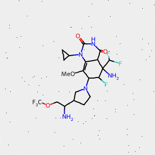 COC1=C2C(C(=O)NC(=O)N2C2CC2)C(N)(C(F)F)C(F)C1N1CCC(C(N)COC(F)(F)F)C1